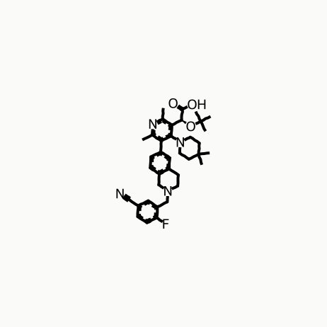 Cc1nc(C)c([C@H](OC(C)(C)C)C(=O)O)c(N2CCC(C)(C)CC2)c1-c1ccc2c(c1)CCN(Cc1cc(C#N)ccc1F)C2